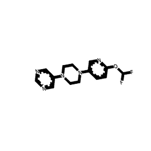 FC(F)Oc1ccc(N2CCN(c3cncnc3)CC2)cn1